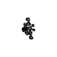 N#Cc1c(C#N)c(-c2ccc(-c3ccccc3)cc2)c(-n2c3ccccc3c3ccccc32)c(-n2c3ccccc3c3ccccc32)c1-c1ccc(-c2ccccc2)cc1